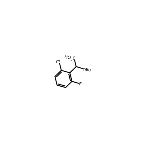 CCCCC(C(=O)O)c1c(F)cccc1Cl